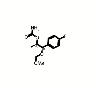 COCO[C@H](c1ccc(F)cc1)[C@@H](C)OC(N)=O